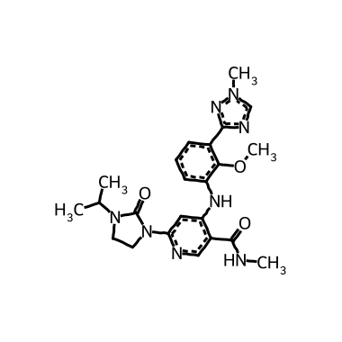 CNC(=O)c1cnc(N2CCN(C(C)C)C2=O)cc1Nc1cccc(-c2ncn(C)n2)c1OC